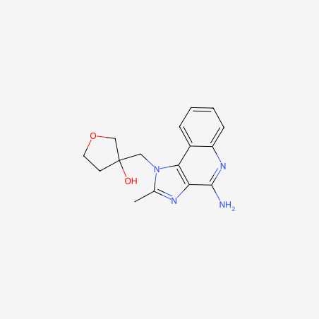 Cc1nc2c(N)nc3ccccc3c2n1CC1(O)CCOC1